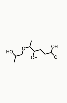 CC(O)COC(C)C(O)CCC(O)O